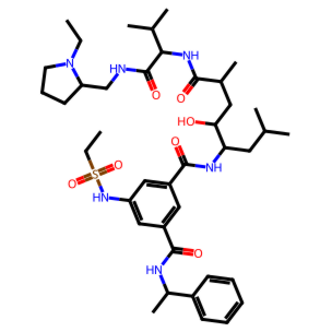 CCN1CCCC1CNC(=O)C(NC(=O)C(C)CC(O)C(CC(C)C)NC(=O)c1cc(NS(=O)(=O)CC)cc(C(=O)NC(C)c2ccccc2)c1)C(C)C